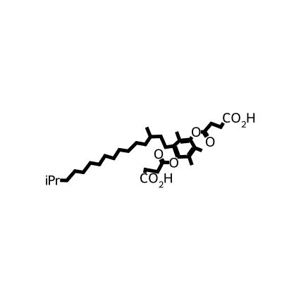 Cc1c(C)c(OC(=O)CCC(=O)O)c(CCC(C)CCCCCCCCCCCC(C)C)c(C)c1OC(=O)CCC(=O)O